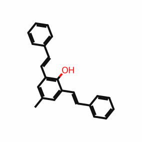 Cc1cc(C=Cc2ccccc2)c(O)c(C=Cc2ccccc2)c1